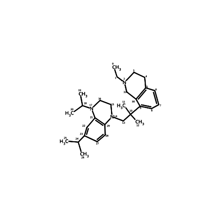 CCN1CCc2cccc(C(C)(C)CN3CCN(C(C)C)c4cc(C(C)C)ccc43)c2C1